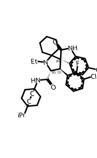 CCN1[C@@H](C(=O)NC23CCC(C(C)C)(CC2)CC3)[C@H](c2cccc(Cl)c2F)[C@]2(C(=O)Nc3cc(Cl)ccc32)C12CCCCC2